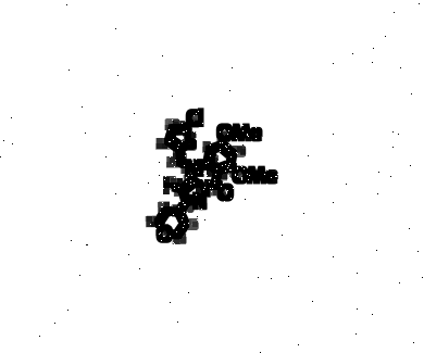 COc1ccc(C(=O)n2nc(C3CCOCC3)c(F)c2NCc2ccc(Cl)s2)c(OC)c1